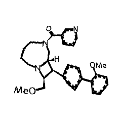 COC[C@@H]1[C@H](c2ccc(-c3ccccc3OC)cc2)[C@H]2CN(C(=O)c3cccnc3)CCCCN12